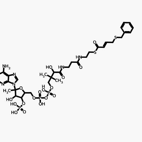 CC(C)(COP(=O)(O)OP(=O)(O)OCC1OC(C)(n2cnc3c(N)ncnc32)C(O)C1OP(=O)(O)O)C(O)C(=O)NCCC(=O)NCCSC(=O)C=CCSCc1ccccc1